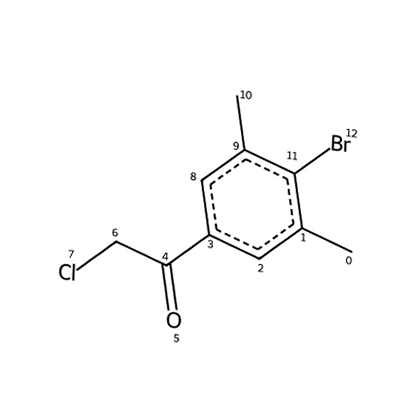 Cc1cc(C(=O)CCl)cc(C)c1Br